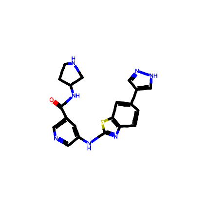 O=C(NC1CCNC1)c1cncc(Nc2nc3ccc(-c4cn[nH]c4)cc3s2)c1